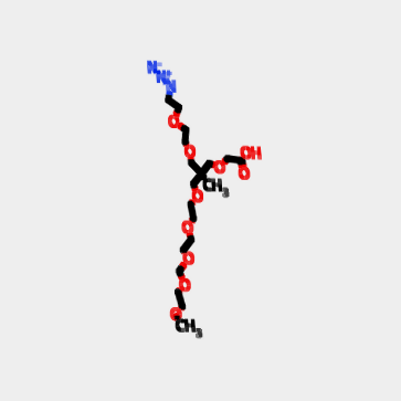 COCCOCOCCOCCOCC(C)(COCCOCCN=[N+]=[N-])COCC(=O)O